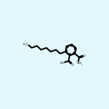 CCCCCCCCc1cccc(C(N)=O)c1C(=O)O